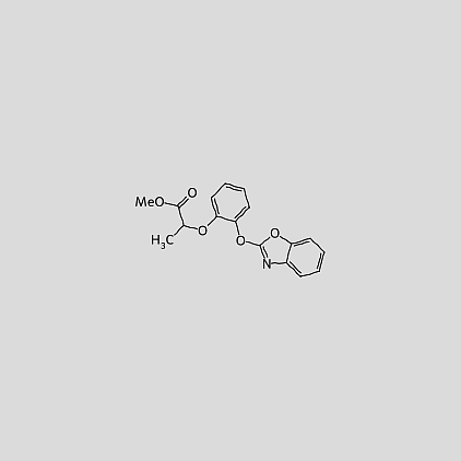 COC(=O)C(C)Oc1ccccc1Oc1nc2ccccc2o1